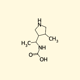 CC1CNCC1C(C)NC(=O)O